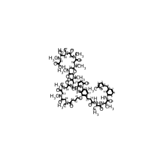 Cc1ccc(Cc2cccc(NC(=O)[C@H](C)NC(=O)[C@H](C)NC(=O)CCc3ccc(N4C(=O)C=CC4=O)c(F)c3OCCCC(=O)N(C)CC(=O)N(C)CC(=O)N(C)CC(=O)N(C)CC(=O)N(C)CC(=O)N(C)CC(=O)N(C)CC(=O)N(C)CC(=O)N(C)CC(=O)N(C)CC(=O)O)c2)s1